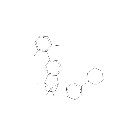 CC1(C)[C@H]2CC[C@]1(c1ccnc(C3CCOCC3)n1)c1nnc(-c3c(F)cccc3F)cc12